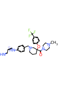 CN1CCN(C(=O)C2(Oc3ccc(C(F)(F)F)cc3)CCCN(Cc3ccc(N/C=C\C=N)cc3)C2)CC1